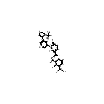 [2H]C([2H])([2H])n1nncc1-c1cncc(-n2nc(C(=O)N[C@H](C)c3cccc(C(F)F)c3F)ccc2=O)c1